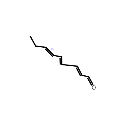 CC/C=C/C=CC=CC=O